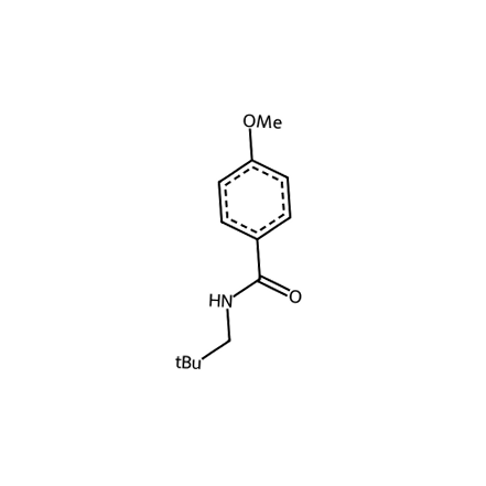 COc1ccc(C(=O)NCC(C)(C)C)cc1